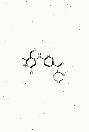 CC1=C(C=O)N(Nc2ccc(C(=O)N3CCOC[C@H]3C)cn2)C=C(Cl)N1